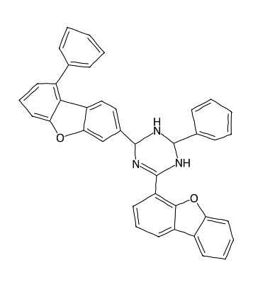 c1ccc(-c2cccc3oc4cc(C5N=C(c6cccc7c6oc6ccccc67)NC(c6ccccc6)N5)ccc4c23)cc1